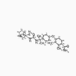 Cc1c(Oc2ccc(C(C)(C)NC(=O)NC3(C)CCN4CCC3CC4)cc2)ccc(C(N)=O)c1C